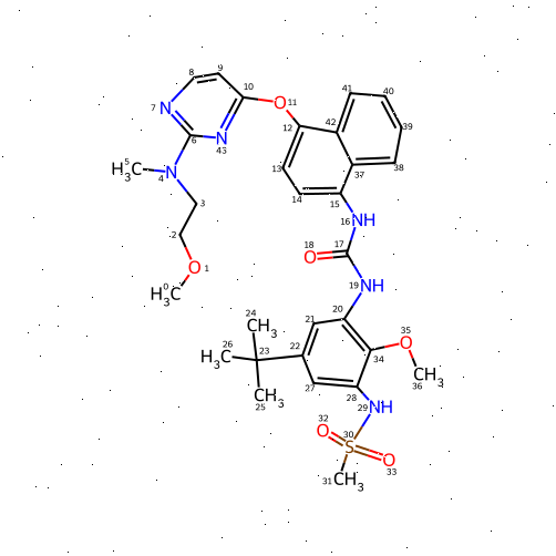 COCCN(C)c1nccc(Oc2ccc(NC(=O)Nc3cc(C(C)(C)C)cc(NS(C)(=O)=O)c3OC)c3ccccc23)n1